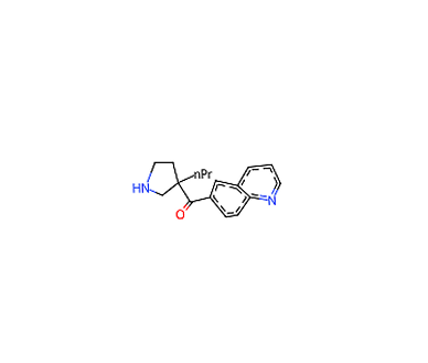 CCCC1(C(=O)c2ccc3ncccc3c2)CCNC1